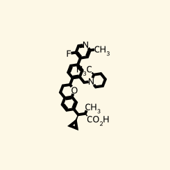 Cc1cc(-c2ccc(C3CCc4ccc([C@H](C5CC5)[C@H](C)C(=O)O)cc4O3)c(CN3CCCC[C@@H]3C)c2)c(F)cn1